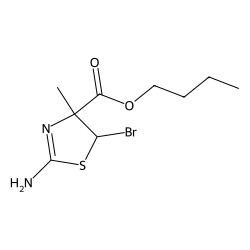 CCCCOC(=O)C1(C)N=C(N)SC1Br